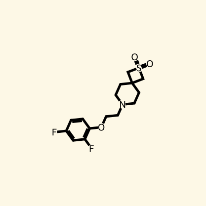 O=S1(=O)CC2(CCN(CCOc3ccc(F)cc3F)CC2)C1